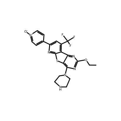 CCOc1nc(N2CCNCC2)c2sc3nc(-c4cc[n+]([O-])cc4)cc(C(F)(F)F)c3c2n1